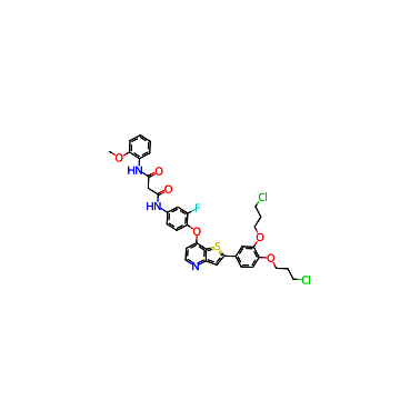 COc1ccccc1NC(=O)CC(=O)Nc1ccc(Oc2ccnc3cc(-c4ccc(OCCCCl)c(OCCCCl)c4)sc23)c(F)c1